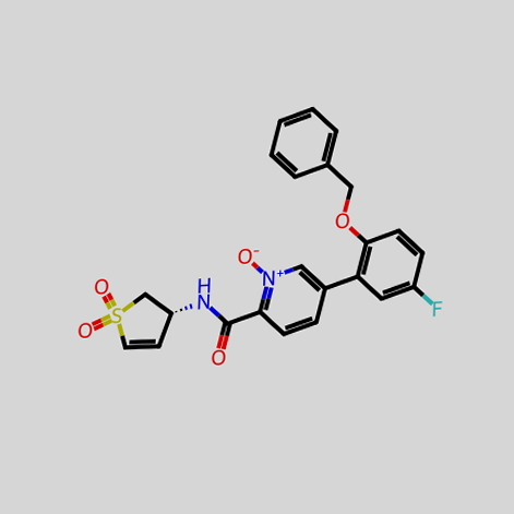 O=C(N[C@@H]1C=CS(=O)(=O)C1)c1ccc(-c2cc(F)ccc2OCc2ccccc2)c[n+]1[O-]